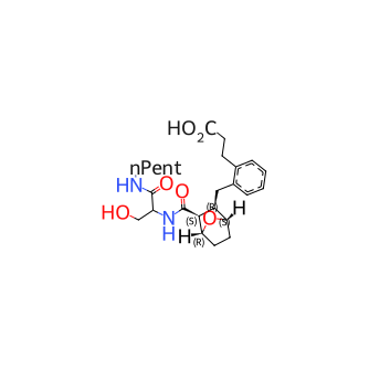 CCCCCNC(=O)C(CO)NC(=O)[C@H]1[C@@H](Cc2ccccc2CCC(=O)O)[C@@H]2CC[C@H]1O2